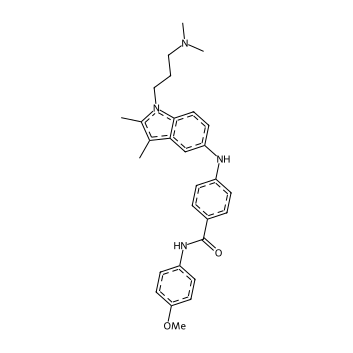 COc1ccc(NC(=O)c2ccc(Nc3ccc4c(c3)c(C)c(C)n4CCCN(C)C)cc2)cc1